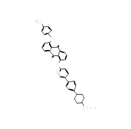 CCCCCCC1CCC(c2ccc(-c3ccc(Sc4cccc5c4C(=O)c4cccc(Sc6ccc(C(C)(C)C)cc6)c4C5=O)nc3)cc2)CC1